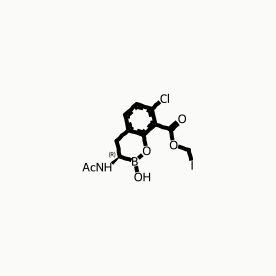 CC(=O)N[C@H]1Cc2ccc(Cl)c(C(=O)OCI)c2OB1O